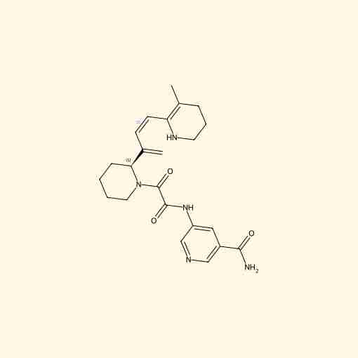 C=C(/C=C\C1=C(C)CCCN1)[C@@H]1CCCCN1C(=O)C(=O)Nc1cncc(C(N)=O)c1